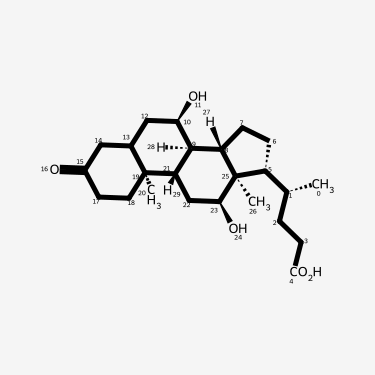 C[C@H](CCC(=O)O)[C@H]1CC[C@H]2[C@@H]3[C@H](O)CC4CC(=O)CC[C@]4(C)[C@H]3C[C@H](O)[C@]12C